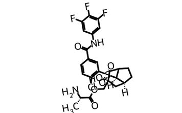 C[C@H](N)C(=O)OC[C@]1(O)CC2CC[C@@H](C1)[C@H]2S(=O)(=O)c1cc(C(=O)Nc2cc(F)c(F)c(F)c2)ccc1Cl